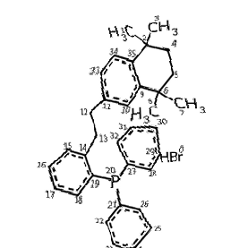 Br.CC1(C)CCC(C)(C)c2cc(CCc3ccccc3P(c3ccccc3)c3ccccc3)ccc21